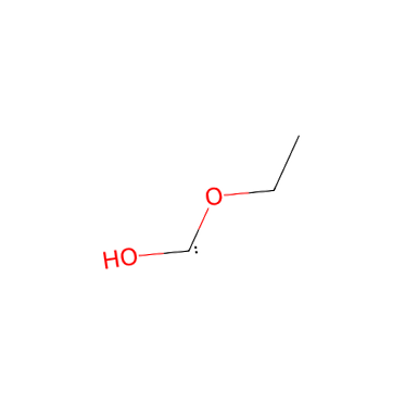 CCO[C]O